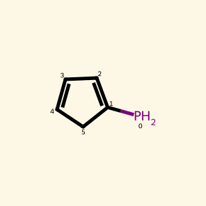 PC1=CC=CC1